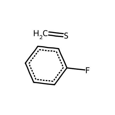 C=S.Fc1ccccc1